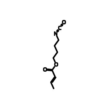 C/C=C/C(=O)OCCCCN=C=O